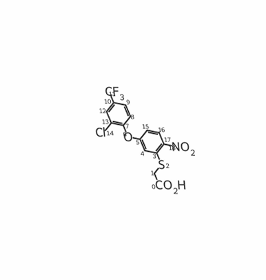 O=C(O)CSc1cc(Oc2ccc(C(F)(F)F)cc2Cl)ccc1[N+](=O)[O-]